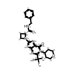 O=C(NCc1ccccc1)[C@H]1CCN1c1nc2c(=O)n(C3CCOCC3)c(C(F)(F)F)nc2s1